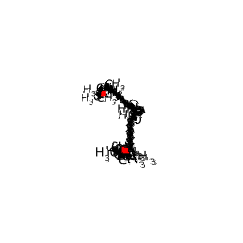 C[Si](C)(C)O[Si](C)(C)O[Si](C)(C)CCCCCCCCCCC(=O)NC1CCCCC1NC(=O)CCCCCCCCCC[Si](C)(C)O[Si](C)(C)O[Si](C)(C)C